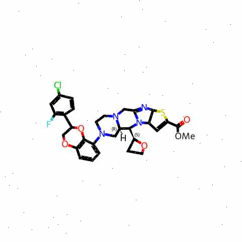 COC(=O)C1=CC2C(N=C3CN4CCN(c5cccc6c5OC(c5ccc(Cl)cc5F)CO6)C[C@@H]4C([C@@H]4CCO4)N32)S1